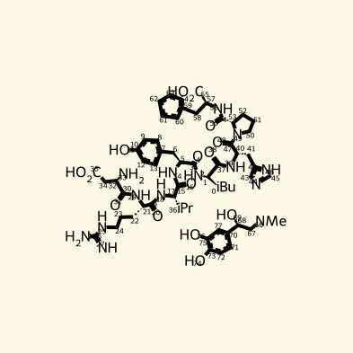 CC[C@H](C)[C@H](NC(=O)[C@H](Cc1ccc(O)cc1)NC(=O)[C@@H](NC(=O)[C@H](CCCNC(=N)N)NC(=O)[C@@H](N)CC(=O)O)C(C)C)C(=O)N[C@@H](Cc1cnc[nH]1)C(=O)N1CCC[C@H]1C(=O)N[C@@H](Cc1ccccc1)C(=O)O.CNC[C@H](O)c1ccc(O)c(O)c1